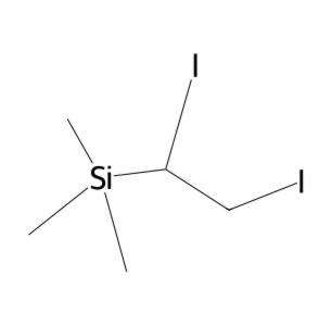 C[Si](C)(C)C(I)CI